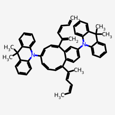 C=C/C=C\C(=C)c1ccc(N2c3ccccc3C(C)(C)c3ccccc32)cccc(/C(C)=C/C=C\C)c2ccc(N3c4ccccc4C(C)(C)c4ccccc43)cc12